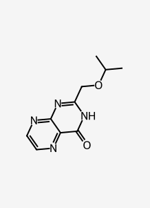 CC(C)OCc1nc2nccnc2c(=O)[nH]1